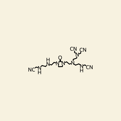 N#CCNCCNCCN1CCN(CCN(CCNCC#N)CCN(CC#N)CC#N)C1=O